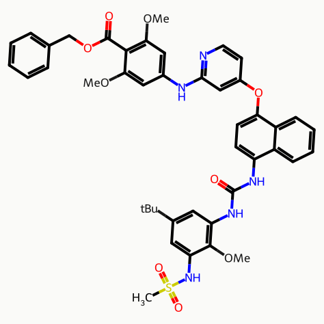 COc1cc(Nc2cc(Oc3ccc(NC(=O)Nc4cc(C(C)(C)C)cc(NS(C)(=O)=O)c4OC)c4ccccc34)ccn2)cc(OC)c1C(=O)OCc1ccccc1